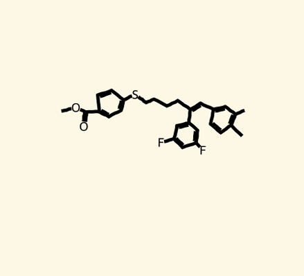 COC(=O)c1ccc(SCCCC/C(=C/c2ccc(C)c(C)c2)c2cc(F)cc(F)c2)cc1